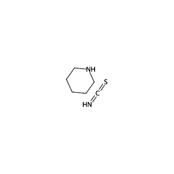 C1CCNCC1.N=C=S